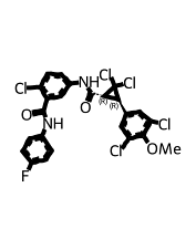 COc1c(Cl)cc([C@H]2[C@H](C(=O)Nc3ccc(Cl)c(C(=O)Nc4ccc(F)cc4)c3)C2(Cl)Cl)cc1Cl